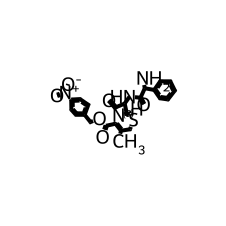 CC1=C(C(=O)OCc2ccc([N+](=O)[O-])cc2)N2C(=O)C(NC(=O)C(N)c3ccccc3)[C@@H]2SC1